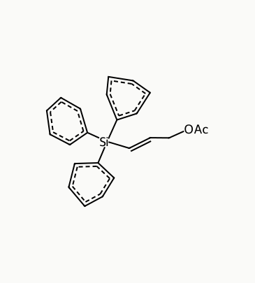 CC(=O)OCC=C[Si](c1ccccc1)(c1ccccc1)c1ccccc1